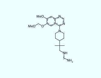 COCOc1cc2c(N3CCC(C(C)(C)CNSN)CC3)ncnc2cc1OC